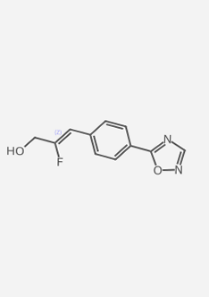 OC/C(F)=C/c1ccc(-c2ncno2)cc1